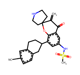 C=C1C(=O)c2cc(NS(C)(=O)=O)cc(C3CCc4cc(C#N)ccc4C3)c2OC12CCNCC2